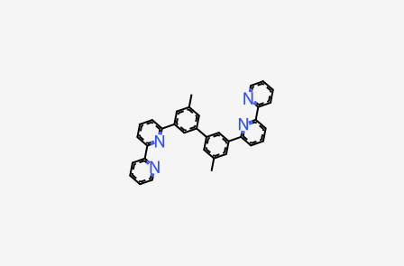 Cc1cc(-c2cc(C)cc(-c3cccc(-c4ccccn4)n3)c2)cc(-c2cccc(-c3ccccn3)n2)c1